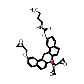 CCCCNC(=O)Oc1ccc2ccc(OCC3CO3)c(Cc3c(OCC4CO4)ccc4ccc(OCC5CO5)cc34)c2c1